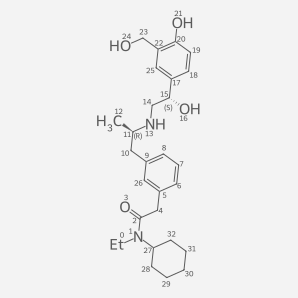 CCN(C(=O)Cc1cccc(C[C@@H](C)NC[C@@H](O)c2ccc(O)c(CO)c2)c1)C1CCCCC1